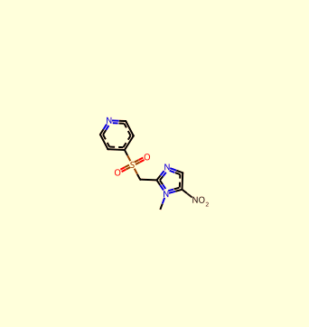 Cn1c([N+](=O)[O-])cnc1CS(=O)(=O)c1ccncc1